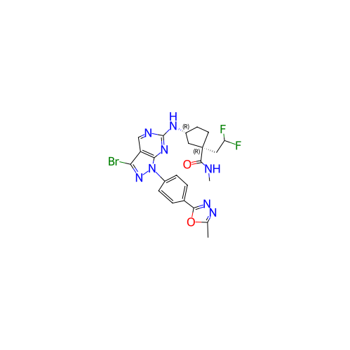 CNC(=O)[C@]1(CC(F)F)CC[C@@H](Nc2ncc3c(Br)nn(-c4ccc(-c5nnc(C)o5)cc4)c3n2)C1